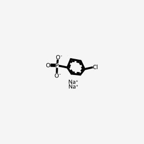 O=P([O-])([O-])c1ccc(Cl)cc1.[Na+].[Na+]